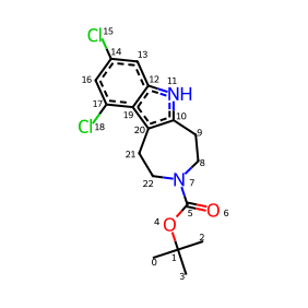 CC(C)(C)OC(=O)N1CCc2[nH]c3cc(Cl)cc(Cl)c3c2CC1